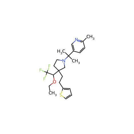 CCOC(C(F)(F)F)C1(CCc2cccs2)CCN(C(C)(C)c2ccc(C)nc2)C1